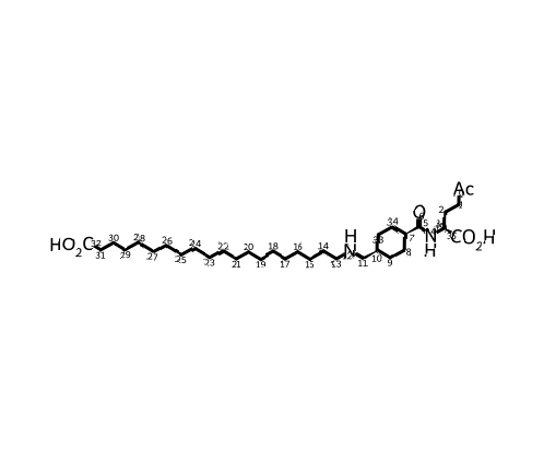 CC(=O)CC[C@H](NC(=O)[C@H]1CC[C@@H](CNCCCCCCCCCCCCCCCCCCCC(=O)O)CC1)C(=O)O